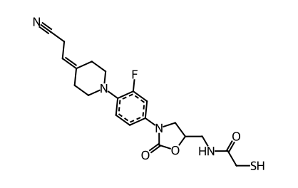 N#CCC=C1CCN(c2ccc(N3CC(CNC(=O)CS)OC3=O)cc2F)CC1